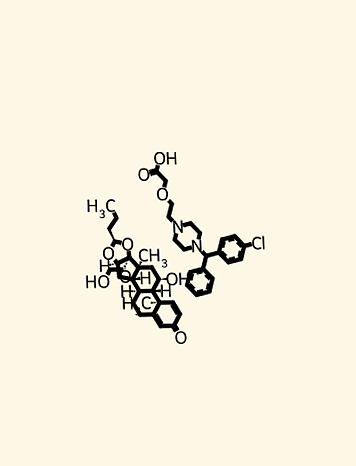 CCC[C@@H]1O[C@@H]2C[C@H]3[C@@H]4CCC5=CC(=O)C=C[C@]5(C)[C@H]4[C@@H](O)C[C@]3(C)[C@]2(C(=O)CO)O1.O=C(O)COCCN1CCN(C(c2ccccc2)c2ccc(Cl)cc2)CC1